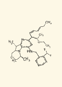 CC/C=C/C=C\C(=C(/C)OCC)c1cc(NCc2cccnc2C(F)F)c2c(n1)C(C)C(CC)N2C(C)C